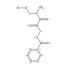 CCOCC(C)C(=O)C(=O)CSC(=O)c1ccccc1